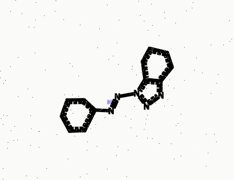 c1ccc(/N=N/n2nnc3ccccc32)cc1